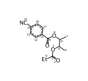 CCC(=O)OC(C)C(C)OC(=O)c1ccc(C#N)cc1